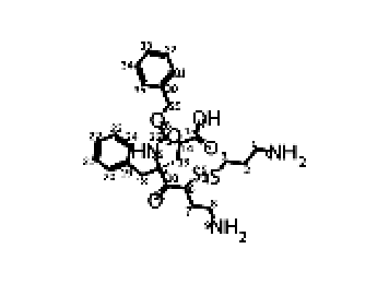 NCCCSSC(CCN)C(=O)[C@@](CCC(=O)O)(Cc1ccccc1)NC(=O)OCc1ccccc1